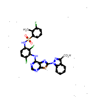 Cc1c(F)cccc1S(=O)(=O)Nc1ccc(F)c(Nc2ncnc3sc(-n4nc(C(=O)O)c5ccccc54)nc23)c1F